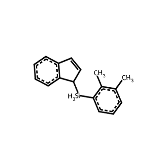 Cc1cccc([SiH2]C2C=Cc3ccccc32)c1C